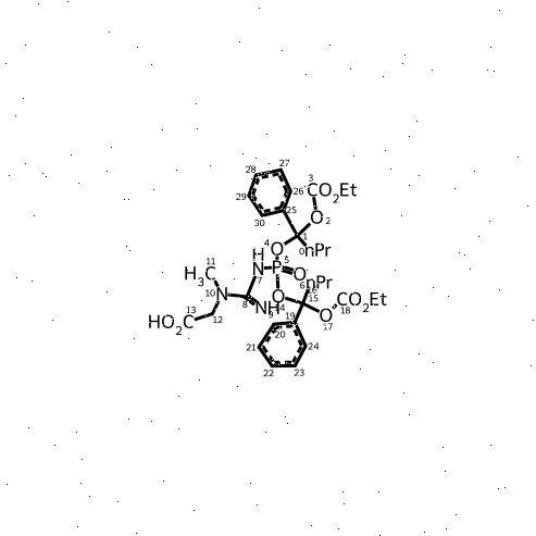 CCCC(OC(=O)OCC)(OP(=O)(NC(=N)N(C)CC(=O)O)OC(CCC)(OC(=O)OCC)c1ccccc1)c1ccccc1